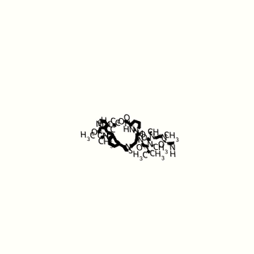 CCn1c(-c2cccnc2[C@H](C)OC)c2c3cc(ccc31)-c1csc(n1)C[C@H](NC(=O)[C@H](C(C)C)N(C)C(=O)N(C)CCN(C)C(=O)[C@@H]1CN1)C(=O)N1CCC[C@H](N1)C(=O)OCC(C)(C)C2